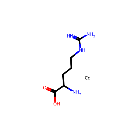 N=C(N)NCCCC(N)C(=O)O.[Cd]